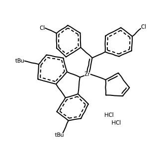 CC(C)(C)c1ccc2c(c1)-c1cc(C(C)(C)C)ccc1[CH]2[Zr]([C]1=CC=CC1)=[C](c1ccc(Cl)cc1)c1ccc(Cl)cc1.Cl.Cl